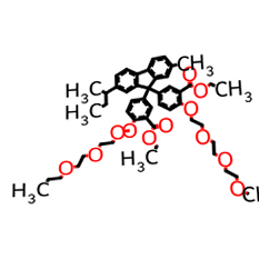 CCCOCCOCCOOc1ccc(C2(c3ccc(OCCOCCOCCOC)c(C(=O)OCC)c3)c3cc(C)ccc3-c3ccc(C(C)CC)cc32)cc1C(=O)OCC